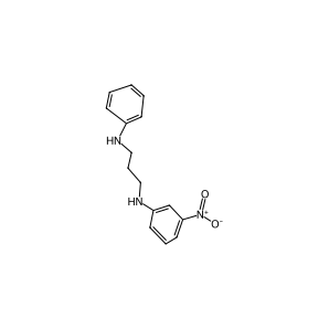 O=[N+]([O-])c1cccc(NCCCNc2ccccc2)c1